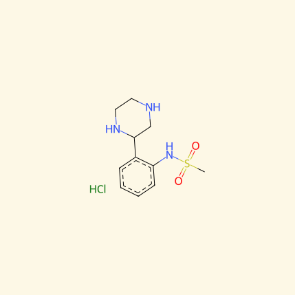 CS(=O)(=O)Nc1ccccc1C1CNCCN1.Cl